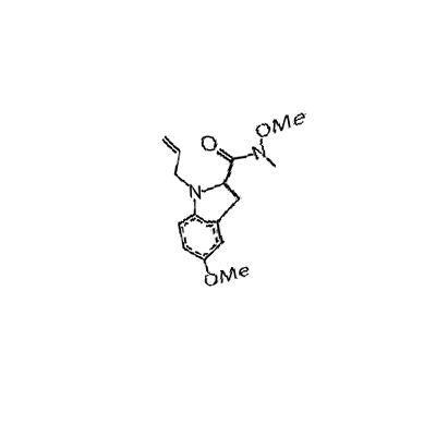 C=CCN1c2ccc(OC)cc2CC1C(=O)N(C)OC